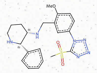 COc1ccc(-n2nnnc2S(C)(=O)=O)cc1CN[C@H]1CCCN[C@H]1c1ccccc1